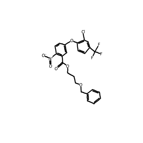 O=C(OCCCOCc1ccccc1)c1cc(Oc2ccc(C(F)(F)F)cc2Cl)ccc1[N+](=O)[O-]